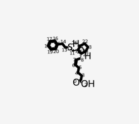 O=C(O)CCC/C=C\C[C@@H]1[C@@H](CSCCc2ccccc2)[C@@H]2CC[C@H]1O2